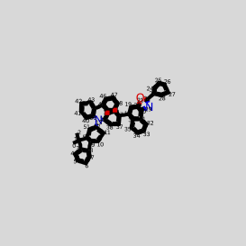 CC1(C)c2ccccc2-c2ccc(N(c3ccc(-c4cc5oc(-c6ccccc6)nc5c5ccccc45)cc3)c3ccccc3-c3ccccc3)cc21